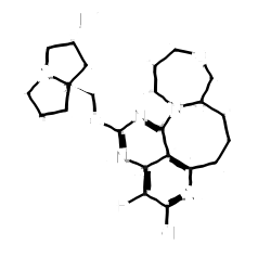 Fc1c(Cl)nc2c3c(nc(OC[C@@]45CCCN4C[C@H](F)C5)nc13)N1CCCOCC1CCC2